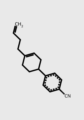 C=CCCC1=CCC(c2ccc(C#N)cc2)CC1